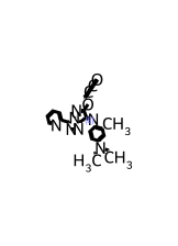 CCN(CC)c1ccc(/N=C2/C(OC=C=C=O)=Nn3c2nnc3-c2ccccn2)c(C)c1